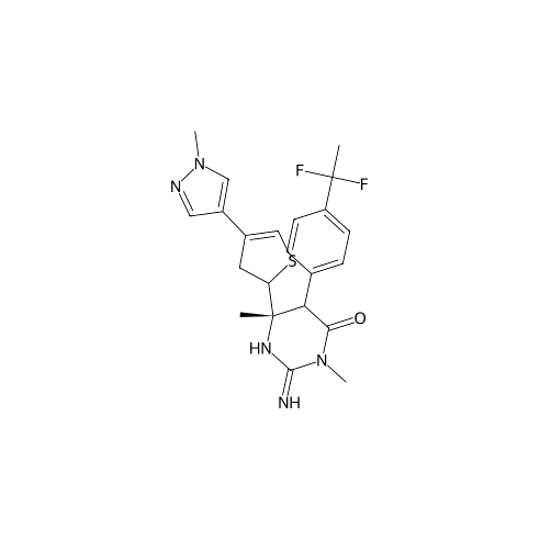 CN1C(=N)N[C@](C)(C2CC(c3cnn(C)c3)=CS2)C(c2ccc(C(C)(F)F)cc2)C1=O